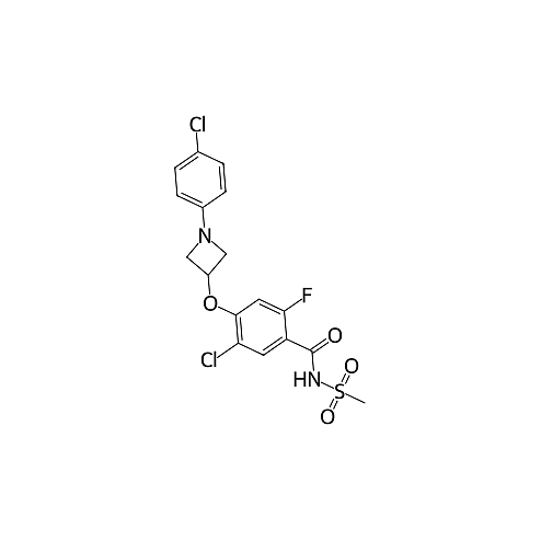 CS(=O)(=O)NC(=O)c1cc(Cl)c(OC2CN(c3ccc(Cl)cc3)C2)cc1F